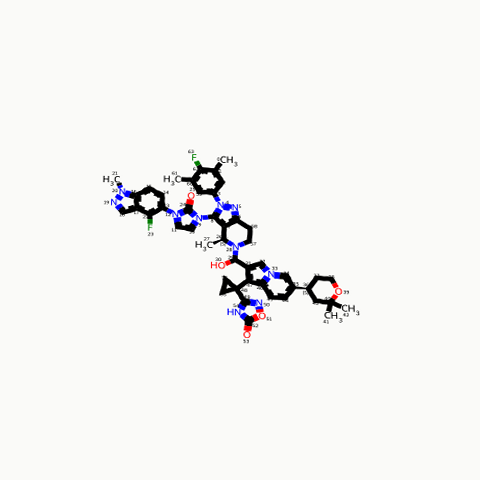 Cc1cc(-n2nc3c(c2-n2ccn(-c4ccc5c(cnn5C)c4F)c2=O)[C@H](C)N(C(O)c2cn4cc([C@H]5CCOC(C)(C)C5)ccc4c2C2(c4noc(=O)[nH]4)CC2)CC3)cc(C)c1F